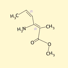 C/C=C\C(N)=C(/C)C(=O)OC